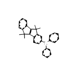 CC1(C)C2=C(c3ccccc31)C(C)(C)c1cc(N(c3ccccc3)c3ccccc3)ccc12